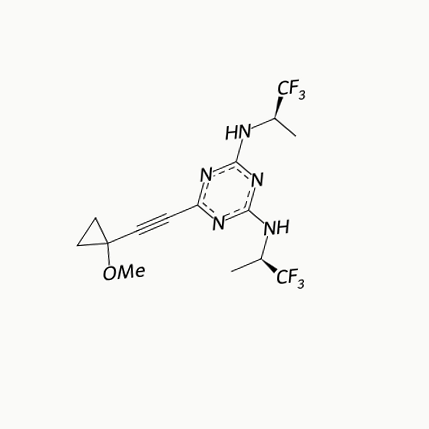 COC1(C#Cc2nc(N[C@H](C)C(F)(F)F)nc(N[C@H](C)C(F)(F)F)n2)CC1